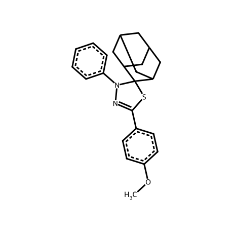 COc1ccc(C2=NN(c3ccccc3)C3(S2)C2CC4CC(C2)CC3C4)cc1